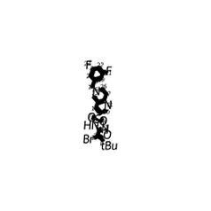 CC(C)(C)c1onc(NS(=O)(=O)c2cnc3c(c2)CN(Cc2cc(F)cc(F)c2)CC3)c1Br